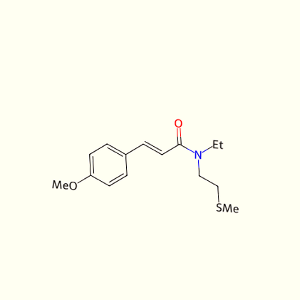 CCN(CCSC)C(=O)C=Cc1ccc(OC)cc1